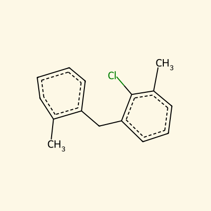 Cc1ccccc1Cc1cccc(C)c1Cl